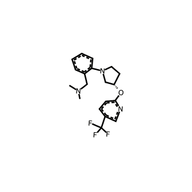 CN(C)Cc1ccccc1N1CC[C@H](Oc2ccc(C(F)(F)F)cn2)C1